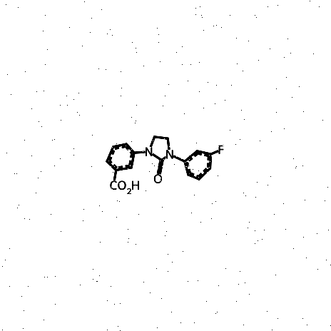 O=C(O)c1cccc(N2CCN(c3cccc(F)c3)C2=O)c1